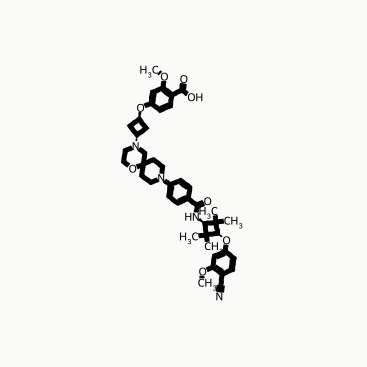 COc1cc(O[C@H]2C(C)(C)[C@H](NC(=O)c3ccc(N4CCC5(CC4)CN([C@H]4C[C@H](Oc6ccc(C(=O)O)c(OC)c6)C4)CCO5)cc3)C2(C)C)ccc1C#N